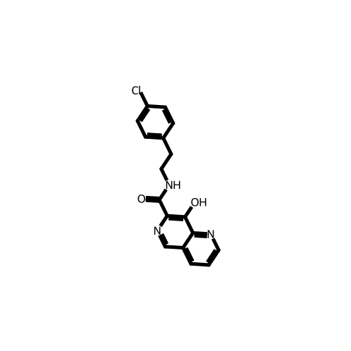 O=C(NCCc1ccc(Cl)cc1)c1ncc2cccnc2c1O